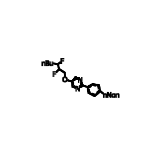 CCCCCCCCCc1ccc(-c2ncc(OCC(F)C(F)CCCC)cn2)cc1